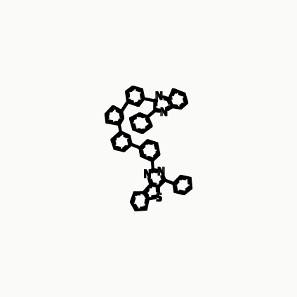 c1ccc(-c2nc3ccccc3nc2-c2cccc(-c3cccc(-c4cccc(-c5cccc(-c6nc(-c7ccccc7)c7sc8ccccc8c7n6)c5)c4)c3)c2)cc1